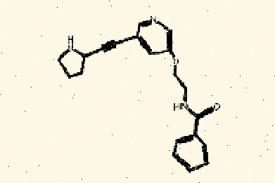 O=C(NCCOc1cncc(C#CC2CCCN2)c1)c1ccccc1